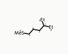 CCC(CC)CCCSC